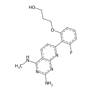 CNc1nc(N)nc2nc(-c3c(F)cccc3OCCCO)ccc12